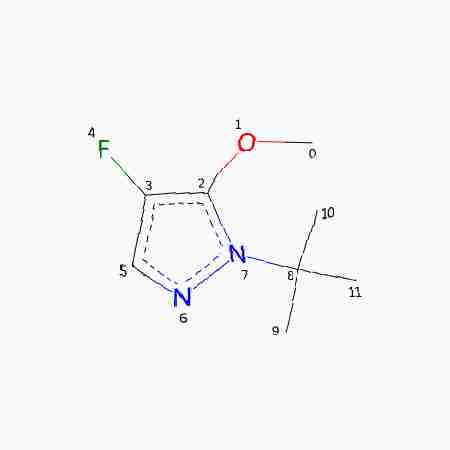 COc1c(F)cnn1C(C)(C)C